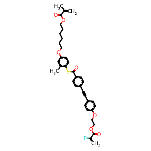 C=C(C)C(=O)OCCCCCCOc1ccc(SC(=O)c2ccc(C#Cc3ccc(OCCOC(=O)C(=C)F)cc3)cc2)c(C)c1